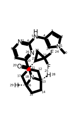 Cn1ccc(Nc2nccc(N3C[C@H]4CC[C@@H](C3)N4C(=O)[C@@H]3CC3(F)F)n2)c1